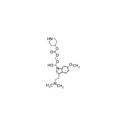 COc1ccc2c(CCN(C)C)cn(C(O)OCOC(=O)OC3CCNCC3)c2c1